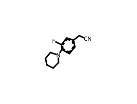 N#CCc1ccc(N2CCCCC2)c(F)c1